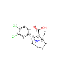 CN1C2CC[C@@H]1[C@H](C(=O)O)[C@@H](c1ccc(Cl)c(Cl)c1)C2